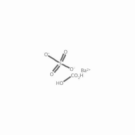 O=C(O)O.O=S(=O)([O-])[O-].[Ba+2]